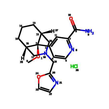 CO[C@]1(c2ccnc(C(N)=O)c2)[C@@H]2CCC[C@H]1CN(Cc1ncco1)C2.Cl